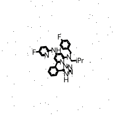 CC(C)CN(Cc1ccc(F)cc1)c1cc(Nc2ccc(F)cn2)cc(-c2ccccc2-c2nnn[nH]2)n1